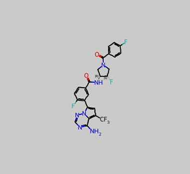 Nc1ncnn2c(-c3cc(C(=O)N[C@@H]4CN(C(=O)c5ccc(F)cc5)C[C@@H]4F)ccc3F)cc(C(F)(F)F)c12